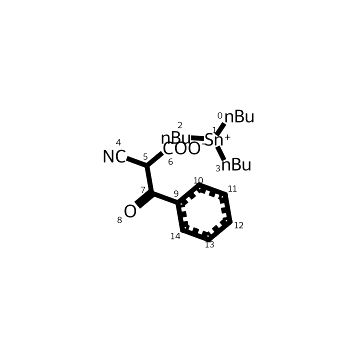 CCC[CH2][Sn+]([CH2]CCC)[CH2]CCC.N#CC(C(=O)[O-])C(=O)c1ccccc1